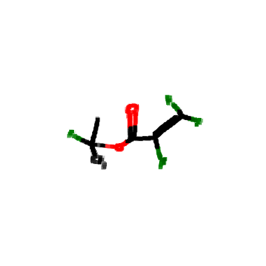 CC(F)(OC(=O)C(F)=C(F)F)C(F)(F)F